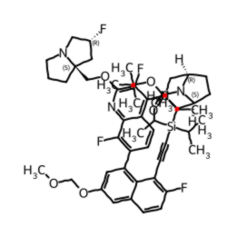 COCOc1cc(-c2ccc3c(N4C[C@H]5CC[C@@H](C4)N5C(=O)OC(C)(C)C)c(F)c(OC[C@@]45CCCN4C[C@H](F)C5)nc3c2F)c2c(C#C[Si](C(C)C)(C(C)C)C(C)C)c(F)ccc2c1